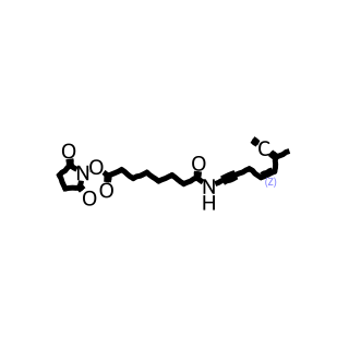 C=C=C(C)/C=C\CC#CNC(=O)CCCCCCC(=O)ON1C(=O)CCC1=O